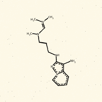 CN(C=[N+](C)C)CCCNc1nn2ccccc2c1N